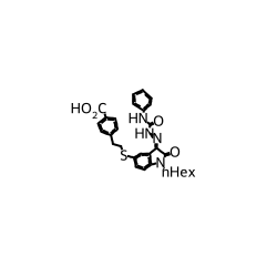 CCCCCCN1C(=O)/C(=N/NC(=O)Nc2ccccc2)c2cc(SCCc3ccc(C(=O)O)cc3)ccc21